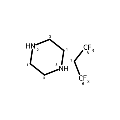 C1CNCCN1.FC(F)(F)CC(F)(F)F